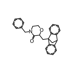 O=C1C(CC23CC(c4ccccc42)c2ccccc23)OCCN1Cc1ccccc1